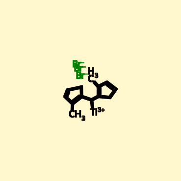 CC1=C([CH]([Ti+3])C2=C(C)C=CC2)CC=C1.[Br-].[Br-].[Br-]